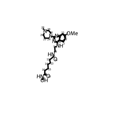 COc1ccc2c(NCCNC(=O)CCCCCC(=O)NO)nc(N3CCCN(C)CC3)nc2c1